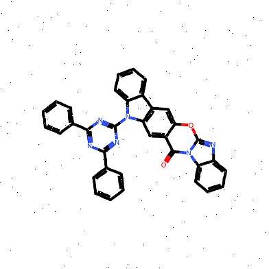 O=c1c2cc3c(cc2oc2nc4ccccc4n12)c1ccccc1n3-c1nc(-c2ccccc2)nc(-c2ccccc2)n1